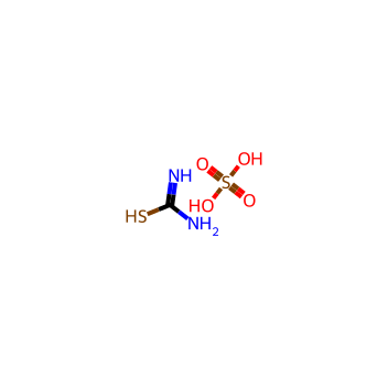 N=C(N)S.O=S(=O)(O)O